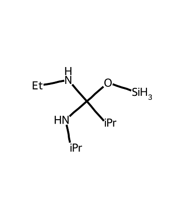 CCNC(NC(C)C)(O[SiH3])C(C)C